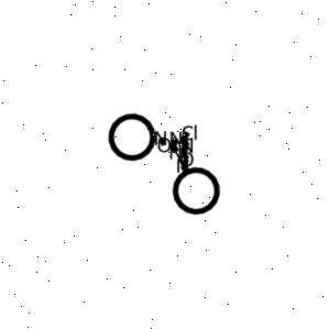 Clc1nc(ON=C2CCCCCCCCCCCCCCCC2)nc(ON=C2CCCCCCCCCCCCCCCC2)n1